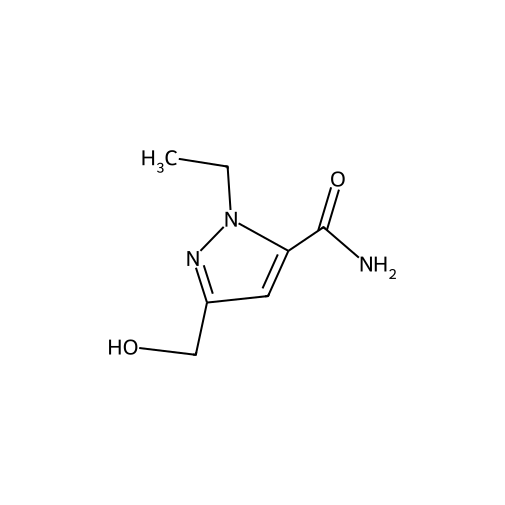 CCn1nc(CO)cc1C(N)=O